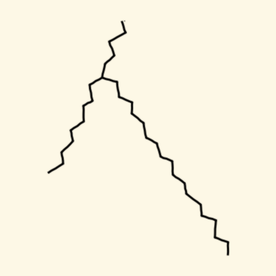 [CH2]CCCCC(CCCCCCCCC)CCCCCCCCCCCCCCCCCC